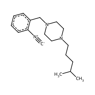 [C-]#[N+]c1ccccc1CN1CCN(CCCC(C)C)CC1